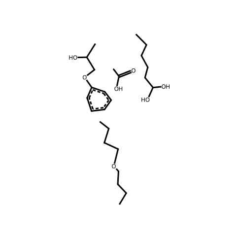 CC(=O)O.CC(O)COc1ccccc1.CCCCCC(O)O.CCCCOCCCC